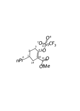 CCCC1CCC(OS(=O)(=O)C(F)(F)F)=C(C(=O)OC)C1